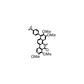 COc1cc2c(ccc3c4ccc(OC)c(OC)c4c(=O)n(C)c23)c(-c2ccc(N(C)C)cc2)c1OC